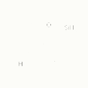 [SiH3]O[C@]12CCC[C@H]1CCC2